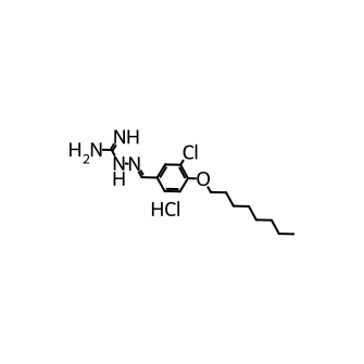 CCCCCCCCOc1ccc(/C=N/NC(=N)N)cc1Cl.Cl